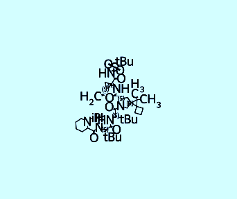 C=C[C@@H]1C[C@]1(NC(=O)[C@@H]1C[C@@]2(CN1C(=O)[C@@H](NC(=O)[C@@H](NC(=O)C1CCCCN1C(C)C)C(C)(C)C)C(C)(C)C)C(C)(C)C21CCC1)C(=O)NS(=O)(=O)C(C)(C)C